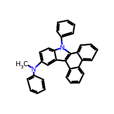 CN(c1ccccc1)c1ccc2c(c1)c1c3ccccc3c3ccccc3c1n2-c1ccccc1